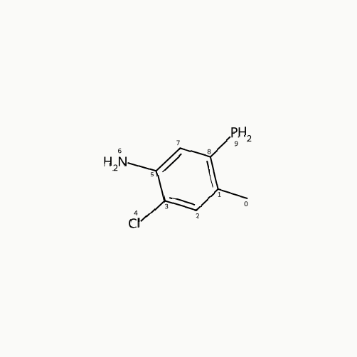 Cc1cc(Cl)c(N)cc1P